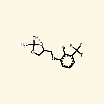 CC1(C)OCC(COc2cccc(C(F)(F)F)c2Br)O1